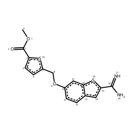 COC(=O)c1ccc(COc2ccc3cc(C(=N)N)sc3c2)s1